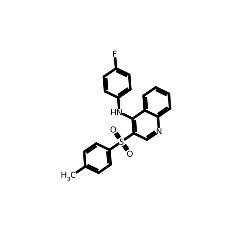 Cc1ccc(S(=O)(=O)c2cnc3ccccc3c2Nc2ccc(F)cc2)cc1